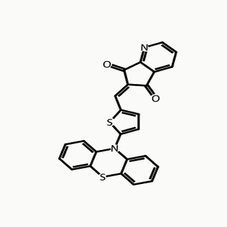 O=C1/C(=C\c2ccc(N3c4ccccc4Sc4ccccc43)s2)C(=O)c2ncccc21